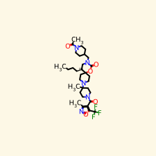 CCCC[C@H]1CN(CC2CCN(C(C)=O)CC2)C(=O)OC12CCN(C1(C)CCN(C(=O)c3c(C)noc3C(F)(F)F)CC1)CC2